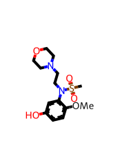 COc1ccc(O)cc1N(CCN1CCOCC1)S(C)(=O)=O